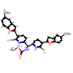 COc1ccc2oc(-c3ccc(C(NC(=O)OC(C)(C)C)c4ccc(-c5cc6cc(OC)ccc6o5)c(F)n4)nc3F)cc2c1